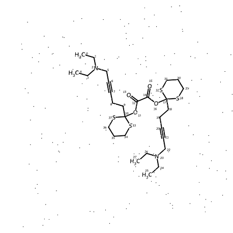 CCN(CC)CC#CCCC1(OC(=O)C(=O)OC2(CCC#CCN(CC)CC)SCCCS2)SCCCS1